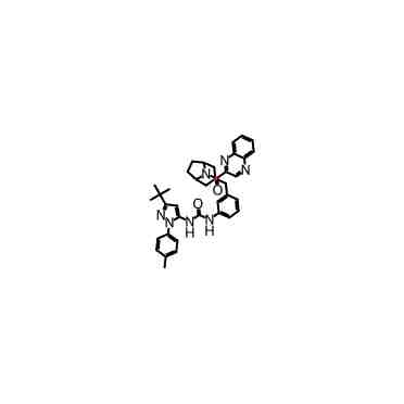 Cc1ccc(-n2nc(C(C)(C)C)cc2NC(=O)Nc2cccc(CC3CC4CCC(C3)N4C(=O)c3cnc4ccccc4n3)c2)cc1